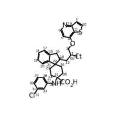 CC[C@H](COc1ccnc2ccsc12)C[C@@H]1Cc2ccccc2C12CCC(Nc1cccc(Cl)c1)(C(=O)O)CC2